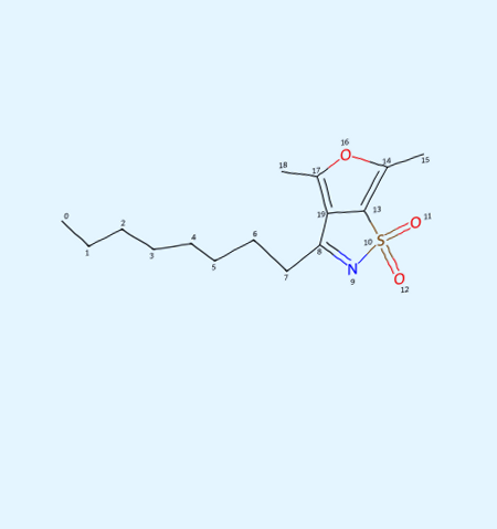 CCCCCCCCC1=NS(=O)(=O)c2c(C)oc(C)c21